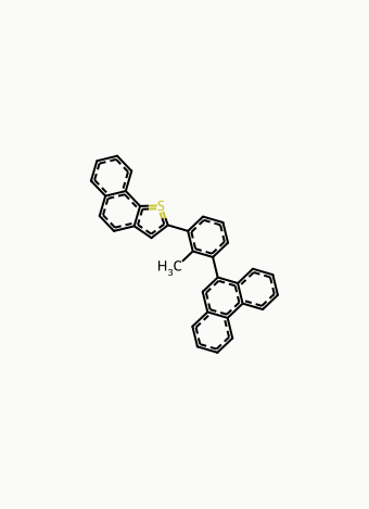 Cc1c(-c2cc3ccc4ccccc4c3s2)cccc1-c1cc2ccccc2c2ccccc12